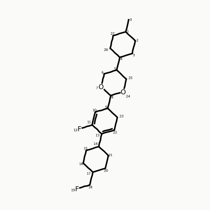 CC1CCC(C2COC(C3C=C(F)C(C4CCC(CF)CC4)=CC3)OC2)CC1